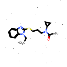 CCCCC(=O)N(CCCSc1nc2ccccc2n1CC(=O)O)C1CC1